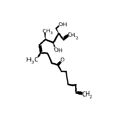 C=CCCCCC(=O)CC/C(C)=C\[C@@H](C)[C@H](O)[C@H](C=C)CO